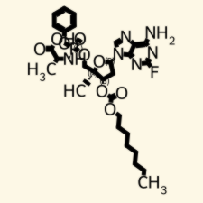 C#C[C@]1(CO[P@@](=O)(NC(C)C(=O)O)Oc2ccccc2)O[C@@H](n2cnc3c(N)nc(F)nc32)C[C@@H]1OC(=O)OCCCCCCCC